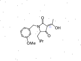 COc1cccc(CN2C(=O)/C(=C(\C)O)C(=O)C2CC(C)C)c1